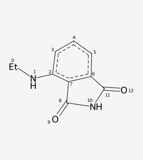 CCNc1cccc2c1C(=O)NC2=O